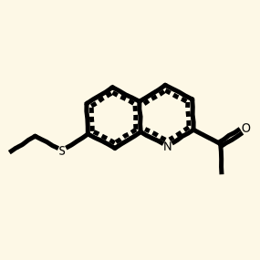 CCSc1ccc2ccc(C(C)=O)nc2c1